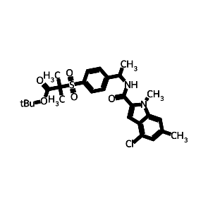 Cc1cc(Cl)c2cc(C(=O)NC(C)c3ccc(S(=O)(=O)C(C)(C)C(=O)OC(C)(C)C)cc3)n(C)c2c1